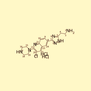 Cl.Cl.NCCc1nc(-c2ccc3nc(N4CCNCC4)c(Cl)cc3c2)n[nH]1